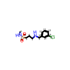 CNS(=O)(=O)CCCNCc1cccc(Cl)c1